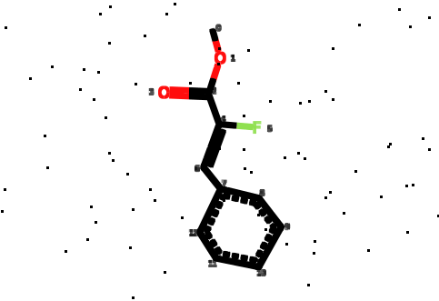 COC(=O)C(F)=Cc1ccccc1